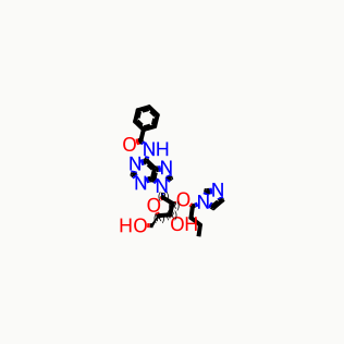 CCCC(O[C@@H]1[C@H](O)[C@@H](CO)O[C@H]1n1cnc2c(NC(=O)c3ccccc3)ncnc21)n1ccnc1